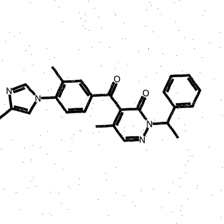 Cc1cn(-c2ccc(C(=O)c3c(C)cnn(C(C)c4ccccc4)c3=O)cc2C)cn1